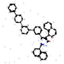 c1ccc(-c2ccc(-c3cccc(-c4cccc(-c5nc(-c6cccc7ccccc67)nc6oc7ccc8ccccc8c7c56)c4)c3)cc2)cc1